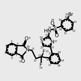 O=C1c2ccccc2C(=O)N1CCC(F)(F)c1ccccc1-c1csc(NS(=O)(=O)c2cccc(Br)c2)n1